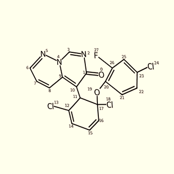 O=c1ncn2ncccc2c1C1C(Cl)=CC=CC1(Cl)Oc1ccc(Cl)cc1F